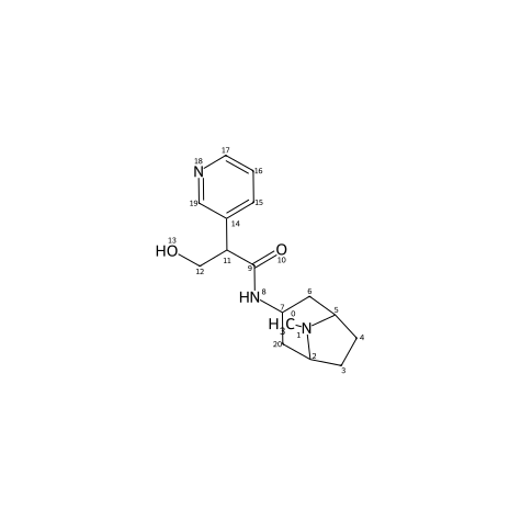 CN1C2CCC1CC(NC(=O)C(CO)c1cccnc1)C2